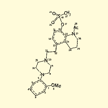 COc1ccccc1N1CCN(CCc2ccc(OS(C)(=O)=O)c3c2CCCN3C(C)=O)CC1